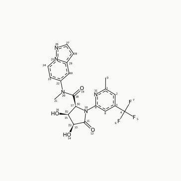 Cc1cc(C(F)(F)F)cc(N2C(=O)[C@@H](O)[C@@H](O)[C@H]2C(=O)N(C)c2ccn3nccc3c2)n1